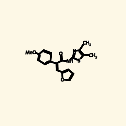 COc1ccc(C(=Cc2ccco2)C(=O)Nc2nc(C)c(C)s2)cc1